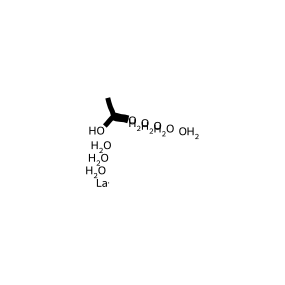 CC(=O)O.O.O.O.O.O.O.O.[La]